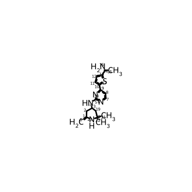 C=C1CC(Nc2nccc(-c3ccc(C(C)N)s3)n2)CC(C)(C)N1